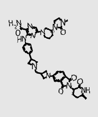 C=C1CCC(N2C(=O)c3ccc(N4CC(CN5CC(c6ccc(Nc7nc(N8CCC[C@@H](N9CCN(C)C9=O)C8)cnc7C(N)=O)cc6)C5)C4)cc3C2=O)C(=O)N1